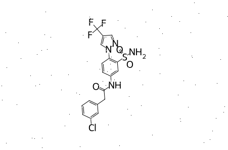 NS(=O)(=O)c1cc(NC(=O)Cc2cccc(Cl)c2)ccc1-n1cc(C(F)(F)F)cn1